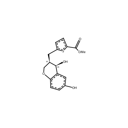 COC(=O)c1ccc(C[C@@H]2COc3ccc(O)cc3[C@@H]2O)s1